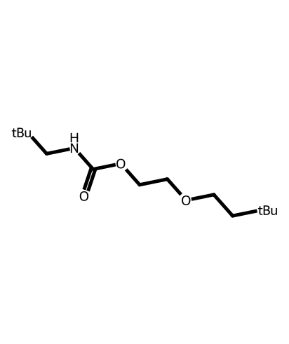 CC(C)(C)CCOCCOC(=O)NCC(C)(C)C